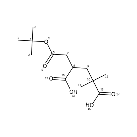 CC(C)(C)OC(=O)CC(CC(C)(C)C(=O)O)C(=O)O